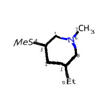 CCC1CC(SC)CN(C)C1